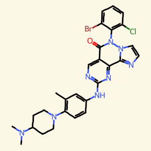 Cc1cc(Nc2ncc3c(=O)n(-c4c(Cl)cccc4Br)n4ccnc4c3n2)ccc1N1CCC(N(C)C)CC1